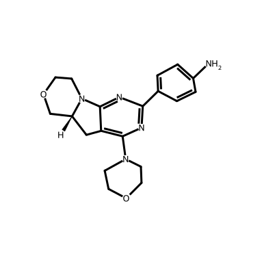 Nc1ccc(-c2nc(N3CCOCC3)c3c(n2)N2CCOC[C@H]2C3)cc1